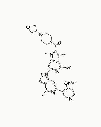 COc1ccncc1-c1cc2c(cnn2-c2cc3c(c(C(C)C)n2)c(C)c(C(=O)N2CCN(C4COC4)CC2)n3C)c(C)n1